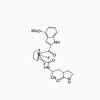 COc1cccc2[nH]c(C(=O)N3C4CCC(C3C(=O)NC(C#N)CC3CCNC3=O)C(F)(F)C4)cc12